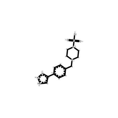 CCS(=O)(=O)N1CCN(Cc2ccc(-c3c[nH]nn3)cc2)CC1